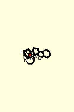 Cc1ccc2c(oc3ccccc32)c1N1C2CCN(c3ccccc3C2)[C@@H]1C